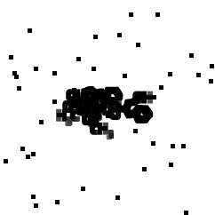 COCC(NC(=O)C(C)NC(=O)O)C(=O)NC1(Cc2ccc(Cl)cc2)CCCN(C(=O)C(CCO)Cc2ccccc2)C1